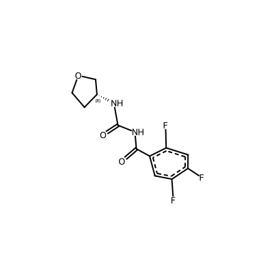 O=C(NC(=O)c1cc(F)c(F)cc1F)N[C@@H]1CCOC1